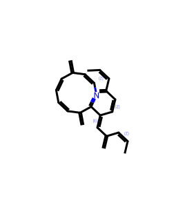 C=C(/C=C\C)/C=C\C(=C/C(=C)/C=C\C)c1nccc(=C)ccccc1=C